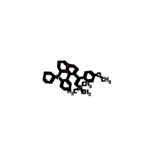 COc1ccc(/C(=C\[Si](C)(C)C)c2ccccc2-c2ccccc2P(c2ccccc2)c2ccccc2)cc1